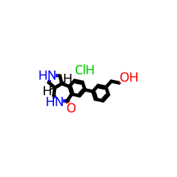 Cl.O=C1NC[C@H]2CNC[C@@H]2c2ccc(-c3cccc(CCO)c3)cc21